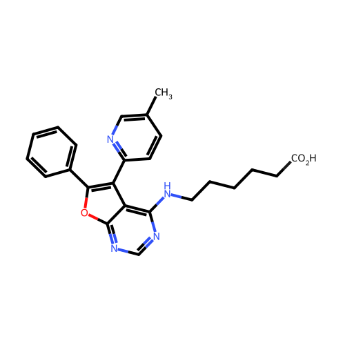 Cc1ccc(-c2c(-c3ccccc3)oc3ncnc(NCCCCCC(=O)O)c23)nc1